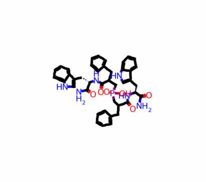 NC(=O)[C@H](Cc1c[nH]c2ccccc12)NC(=O)C(Cc1ccccc1)CP(=O)(O)CC(Cc1ccccc1)C(=O)N[C@@H](Cc1c[nH]c2ccccc12)C(N)=O